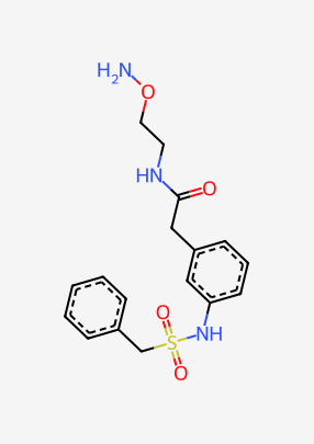 NOCCNC(=O)Cc1cccc(NS(=O)(=O)Cc2ccccc2)c1